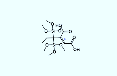 CCC(/C(=C/C(=O)O)C(=O)O)([Si](OC)(OC)OC)[Si](OC)(OC)OC